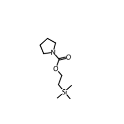 C[Si](C)(C)CCOC(=O)N1CCCC1